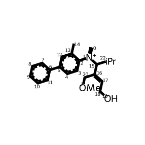 C=[N+](c1ccc(-c2ccccc2)cc1C)C(/C(=C/CO)COC)C(C)C